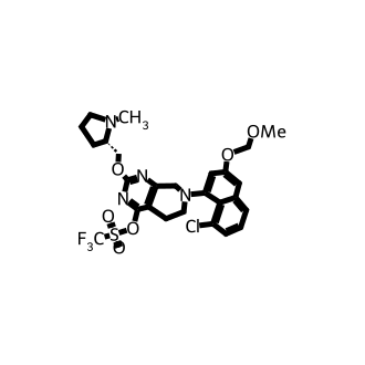 COCOc1cc(N2CCc3c(nc(OC[C@@H]4CCCN4C)nc3OS(=O)(=O)C(F)(F)F)C2)c2c(Cl)cccc2c1